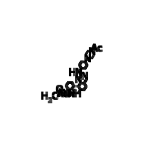 C=CC(=O)Nc1cccc(-c2c(NC(C)=O)ccc3cnc(Nc4ccc(N5CCN(C(C)=O)CC5)cc4)nc23)c1